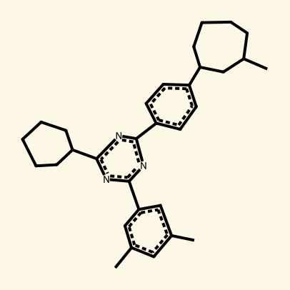 Cc1cc(C)cc(-c2nc(-c3ccc(C4CCCCC(C)C4)cc3)nc(C3CCCCC3)n2)c1